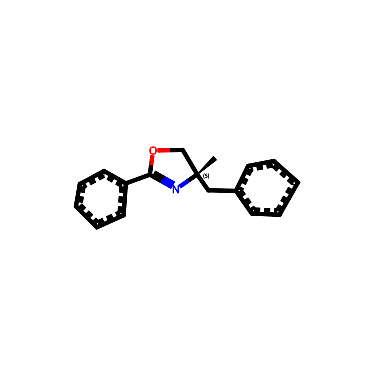 C[C@]1(Cc2ccccc2)COC(c2ccccc2)=N1